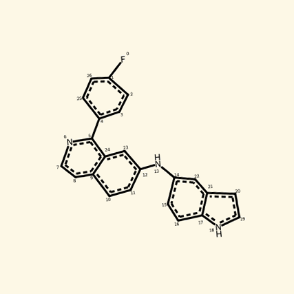 Fc1ccc(-c2nccc3ccc(Nc4ccc5[nH]ccc5c4)cc23)cc1